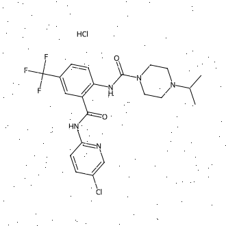 CC(C)N1CCN(C(=O)Nc2ccc(C(F)(F)F)cc2C(=O)Nc2ccc(Cl)cn2)CC1.Cl